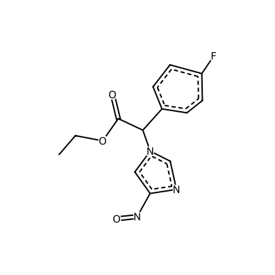 CCOC(=O)C(c1ccc(F)cc1)n1cnc(N=O)c1